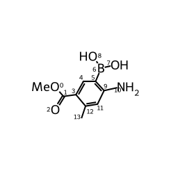 COC(=O)c1cc(B(O)O)c(N)cc1C